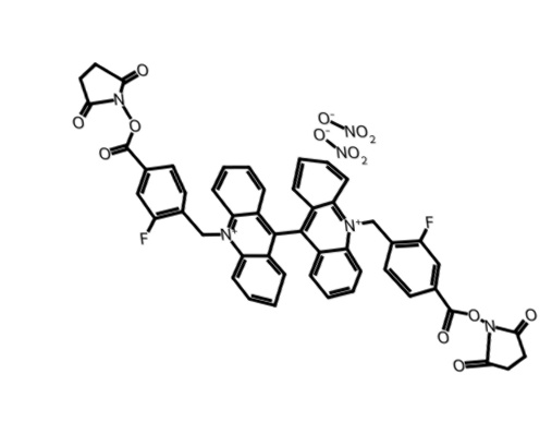 O=C(ON1C(=O)CCC1=O)c1ccc(C[n+]2c3ccccc3c(-c3c4ccccc4[n+](Cc4ccc(C(=O)ON5C(=O)CCC5=O)cc4F)c4ccccc34)c3ccccc32)c(F)c1.O=[N+]([O-])[O-].O=[N+]([O-])[O-]